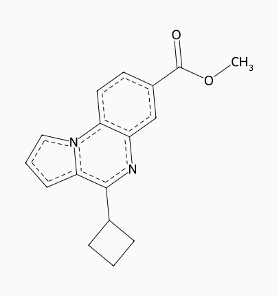 COC(=O)c1ccc2c(c1)nc(C1CCC1)c1cccn12